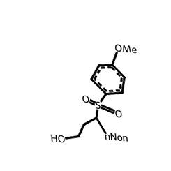 CCCCCCCCCC(CCO)S(=O)(=O)c1ccc(OC)cc1